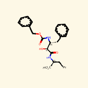 CC(C)C[C@H](NC(=O)[C@@H](O)[C@@H](Cc1ccccc1)NC(=O)OCc1ccccc1)C(=O)O